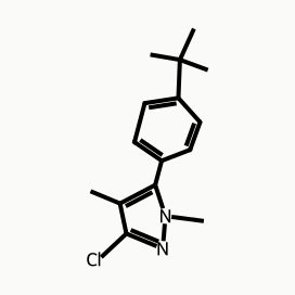 Cc1c(Cl)nn(C)c1-c1ccc(C(C)(C)C)cc1